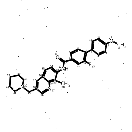 COc1ccc(-c2ccc(C(=O)Nc3ccc4cc(CN5CCCCC5)cnc4c3C)cc2F)cc1